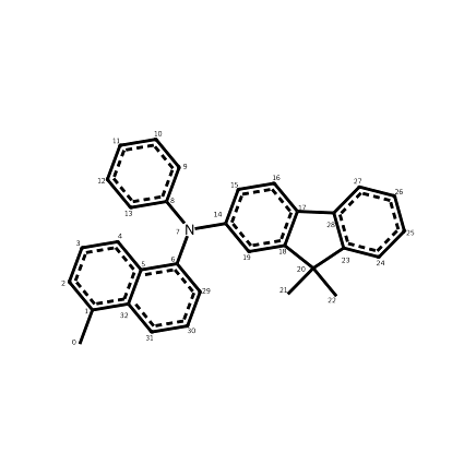 Cc1cccc2c(N(c3ccccc3)c3ccc4c(c3)C(C)(C)c3ccccc3-4)cccc12